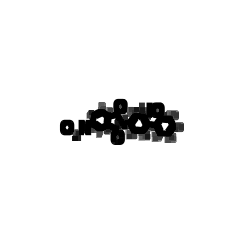 O=C1c2ccc([N+](=O)[O-])cc2C(=O)N1c1ccc(-c2ccccc2O)cc1